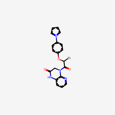 CCC(Oc1ccc(-n2cccc2)cc1)C(=O)N1CC(=O)Nc2cccnc21